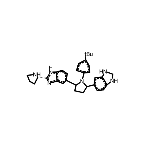 CC(C)(C)c1ccc(N2C(c3ccc4c(c3)NCN4)CCC2c2ccc3[nH]c([C@@H]4CCCN4)nc3c2)cc1